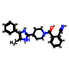 Cc1[nH]c(C2CCN(C(=O)c3ccccc3C#N)CC2)nc1-c1ccccc1